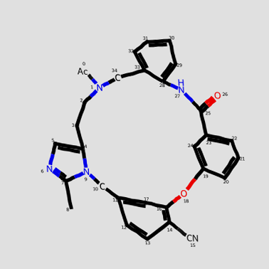 CC(=O)N1CCc2cnc(C)n2Cc2ccc(C#N)c(c2)Oc2cccc(c2)C(=O)Nc2ccccc2C1